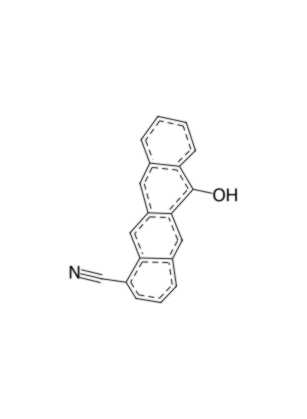 N#Cc1cccc2cc3c(O)c4ccccc4cc3cc12